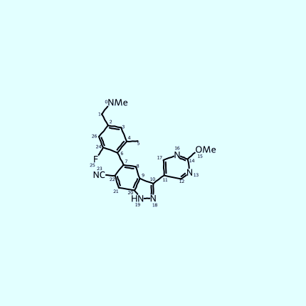 CNCc1cc(C)c(-c2cc3c(-c4cnc(OC)nc4)n[nH]c3cc2C#N)c(F)c1